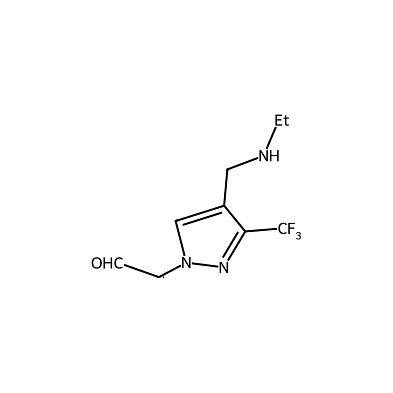 CCNCc1cn([CH]C=O)nc1C(F)(F)F